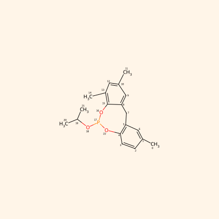 Cc1ccc2c(c1)Cc1cc(C)cc(C)c1OP(OC(C)C)O2